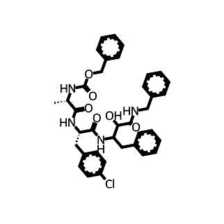 C[C@H](NC(=O)OCc1ccccc1)C(=O)N[C@@H](Cc1ccc(Cl)cc1)C(=O)NC(Cc1ccccc1)C(O)C(=O)NCc1ccccc1